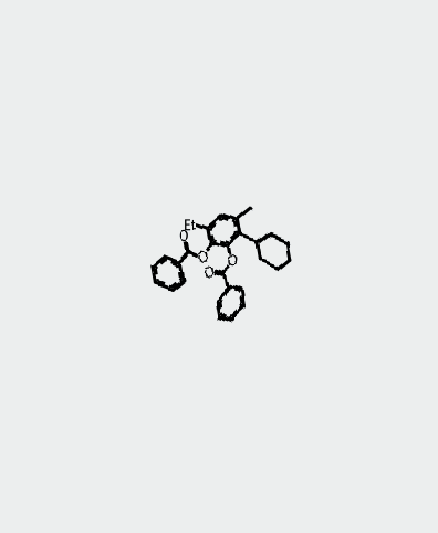 CCc1cc(C)c(C2CCCCC2)c(OC(=O)c2ccccc2)c1OC(=O)c1ccccc1